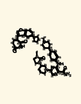 CN1CCN([C@@H]2CCCN(c3cnc(C(N)=O)c(Nc4ccc(C5CCN(C[C@@H]6CCN(c7ccc8onc(C9CCC(=O)NC9=O)c8c7)C6)CC5)cc4)n3)C2)C1=O